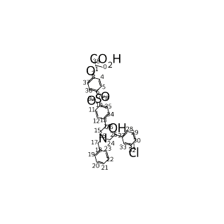 C[C@H](Oc1ccc(S(=O)(=O)c2ccc(CCN(Cc3ccccc3)C[C@@H](O)c3cccc(Cl)c3)cc2)cc1)C(=O)O